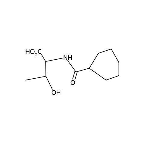 CC(O)C(NC(=O)C1CCCCC1)C(=O)O